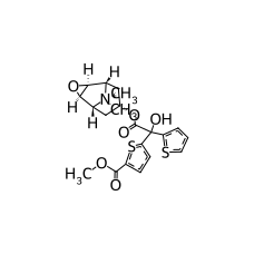 COC(=O)c1ccc(C(O)(C(=O)O[C@@H]2C[C@@H]3[C@H]4O[C@H]4[C@H](C2)[N+]3(C)C)c2cccs2)s1